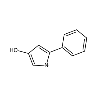 OC1=C[N]C(c2ccccc2)=C1